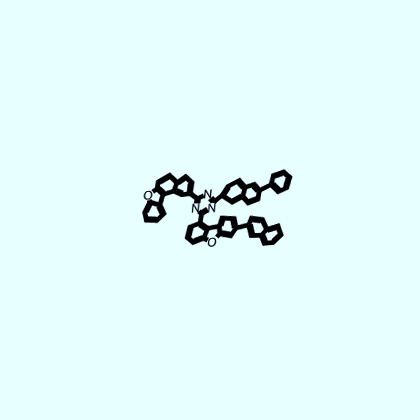 c1ccc(-c2ccc3cc(-c4nc(-c5ccc6ccc7oc8ccccc8c7c6c5)nc(-c5cccc6oc7cc(-c8ccc9ccccc9c8)ccc7c56)n4)ccc3c2)cc1